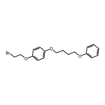 BrCCOc1ccc(OCCCCOc2ccccc2)cc1